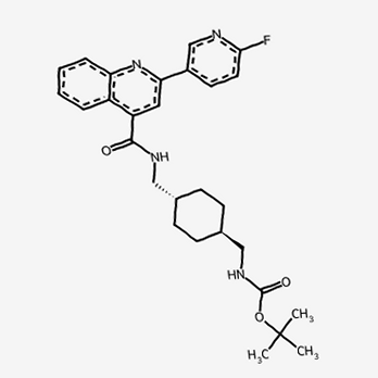 CC(C)(C)OC(=O)NC[C@H]1CC[C@H](CNC(=O)c2cc(-c3ccc(F)nc3)nc3ccccc23)CC1